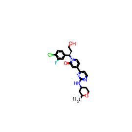 CC1CC(Nc2nccc(-c3ccn([C@H](CCO)c4ccc(Cl)c(F)c4)c(=O)c3)n2)CCO1